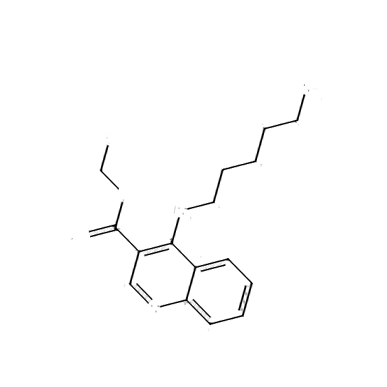 CCOC(=O)c1cnc2ccccc2c1NCCCCCN